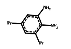 CC(C)c1cc(N)c(N)c(C(C)C)c1